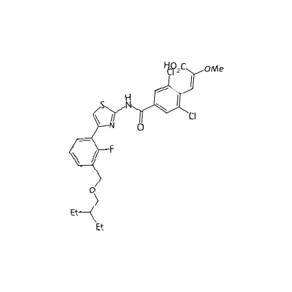 CCC(CC)COCc1cccc(-c2csc(NC(=O)c3cc(Cl)c(/C=C(/OC)C(=O)O)c(Cl)c3)n2)c1F